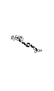 CC(C)(C)OC(=O)COCCCN1CCN(CCCOCC(=O)O)CC1